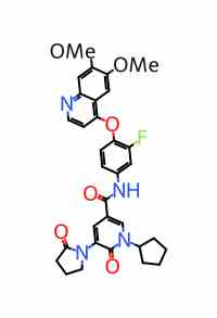 COc1cc2nccc(Oc3ccc(NC(=O)c4cc(N5CCCC5=O)c(=O)n(C5CCCC5)c4)cc3F)c2cc1OC